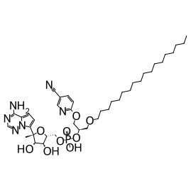 CCCCCCCCCCCCCCCCCCOC[C@H](COc1ccc(C#N)cn1)OP(=O)(O)OC[C@H]1O[C@@](C)(c2ccc3c(N)ncnn23)[C@H](O)[C@@H]1O